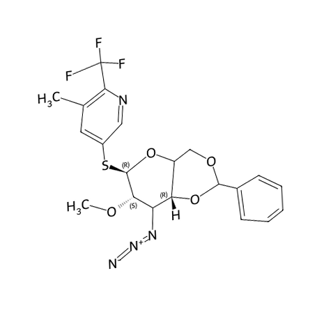 CO[C@H]1C(N=[N+]=[N-])[C@H]2OC(c3ccccc3)OCC2O[C@@H]1Sc1cnc(C(F)(F)F)c(C)c1